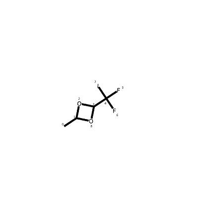 CC1OC(C(F)(F)I)O1